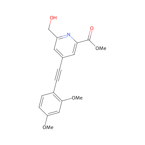 COC(=O)c1cc(C#Cc2ccc(OC)cc2OC)cc(CO)n1